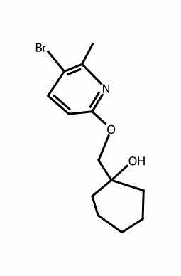 Cc1nc(OCC2(O)CCCCC2)ccc1Br